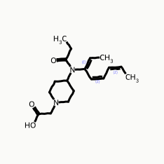 C\C=C/C=C\C(=C/C)N(C(=O)CC)C1CCN(CC(=O)O)CC1